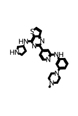 CN1CCN(c2cccc(Nc3cc(-c4nc(N[C@@H]5CCNC5)c5sccc5n4)ccn3)c2)CC1